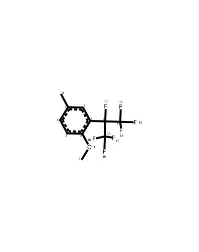 COc1ccc(C)cc1C(F)(C(F)(F)F)C(F)(F)F